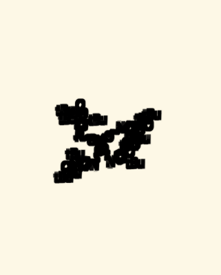 CN(CCOCC(COCCN(C)c1cc(C(C)(C)C)c(OC(=O)OC(C)(C)C)c(C(C)(C)C)c1)(COCCN(C)c1cc(C(C)(C)C)c(OC(=O)OC(C)(C)C)c(C(C)(C)C)c1)COCCN(C)c1cc(C(C)(C)C)c(OC(=O)OC(C)(C)C)c(C(C)(C)C)c1)c1cc(C(C)(C)C)c(OC(=O)OC(C)(C)C)c(C(C)(C)C)c1